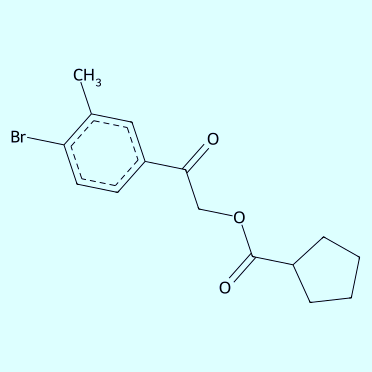 Cc1cc(C(=O)COC(=O)C2CCCC2)ccc1Br